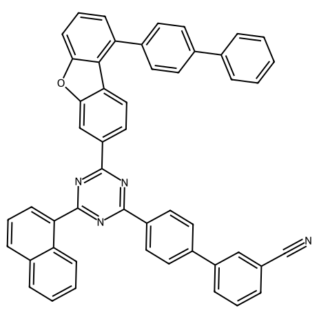 N#Cc1cccc(-c2ccc(-c3nc(-c4ccc5c(c4)oc4cccc(-c6ccc(-c7ccccc7)cc6)c45)nc(-c4cccc5ccccc45)n3)cc2)c1